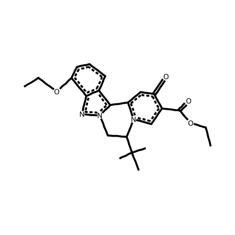 CCOC(=O)c1cn2c(cc1=O)-c1c3cccc(OCC)c3nn1CC2C(C)(C)C